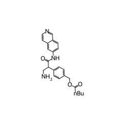 CCCCC(=O)OCc1ccc(C(CN)C(=O)Nc2ccc3cnccc3c2)cc1